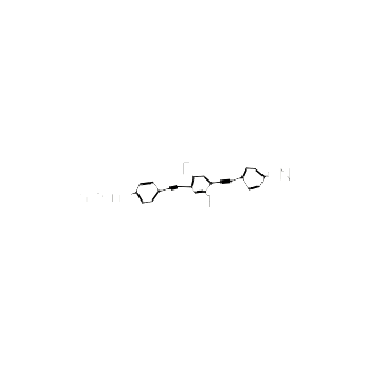 CCCCCc1ccc(C#Cc2cc(F)c(C#Cc3ccc(C#N)cc3)cc2F)cc1